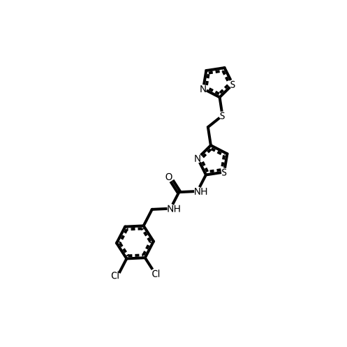 O=C(NCc1ccc(Cl)c(Cl)c1)Nc1nc(CSc2nccs2)cs1